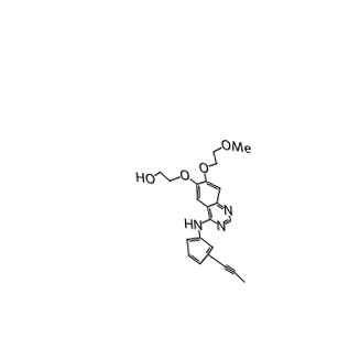 CC#Cc1cccc(Nc2ncnc3cc(OCCOC)c(OCCO)cc23)c1